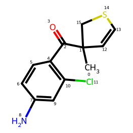 CC1(C(=O)c2ccc(N)cc2Cl)C=CSC1